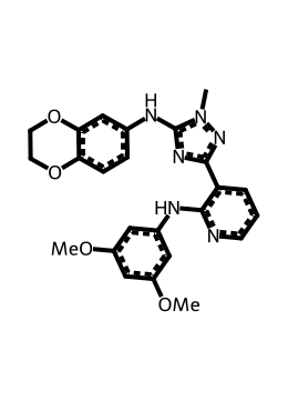 COc1cc(Nc2ncccc2-c2nc(Nc3ccc4c(c3)OCCO4)n(C)n2)cc(OC)c1